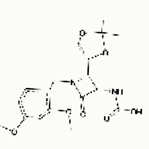 COc1ccc(CN2C(=O)[C@@H](NC(=O)O)[C@H]2[C@@H]2COC(C)(C)O2)c(OC)c1